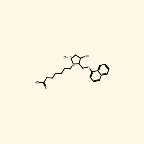 O=C(O)CCCCCC[C@@H]1C(COc2cccc3ccccc23)C(O)C[C@H]1Cl